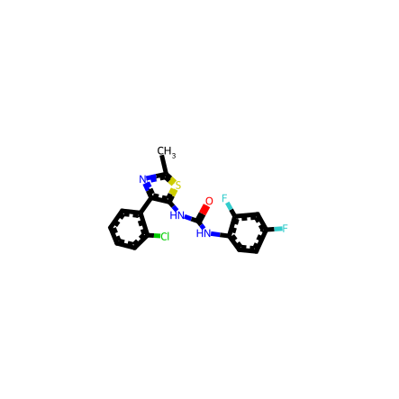 Cc1nc(-c2ccccc2Cl)c(NC(=O)Nc2ccc(F)cc2F)s1